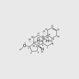 COC1CC[C@H]2[C@@H]3CCC4CC=CC[C@]4(C)[C@@H]3CC[C@]12C